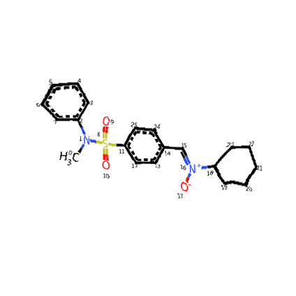 CN(c1ccccc1)S(=O)(=O)c1ccc(C=[N+]([O-])C2CCCCC2)cc1